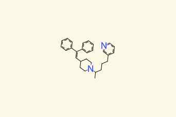 CC(CCCc1cccnc1)N1CCC(C=C(c2ccccc2)c2ccccc2)CC1